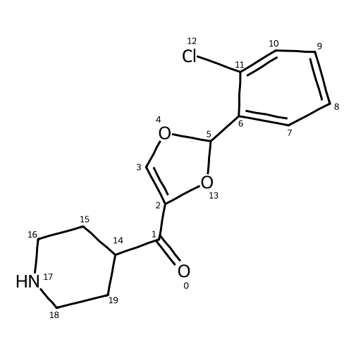 O=C(C1=COC(c2ccccc2Cl)O1)C1CCNCC1